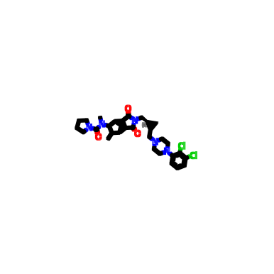 CC1C2CC(C3C(=O)N(C[C@H]4CC4CN4CCN(c5cccc(Cl)c5Cl)CC4)C(=O)C23)C1N(C)C(=O)N1CCCC1